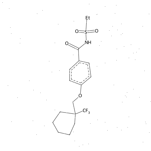 CCS(=O)(=O)NC(=O)c1ccc(OCC2(C(F)(F)F)CCCCC2)cc1